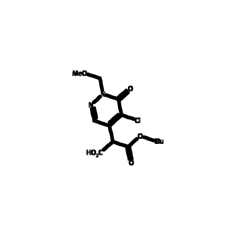 CCC(C)OC(=O)C(C(=O)O)c1cnn(COC)c(=O)c1Cl